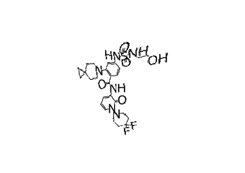 O=C(Nc1cccn(N2CCC(F)(F)CC2)c1=O)c1ccc(NS(=O)(=O)NCCO)cc1N1CCC2(CC1)CC2